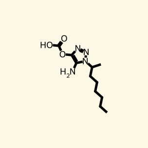 CCCCCCC(C)n1nnc(OC(=O)O)c1N